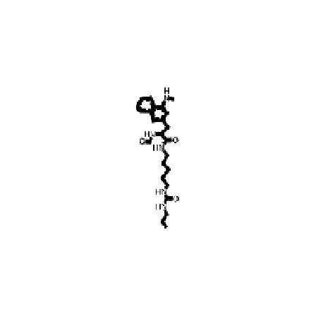 CCCNC(=O)NCCCCCNC(=O)C(Cc1cc(NC)c2ccccc2c1)NC=O